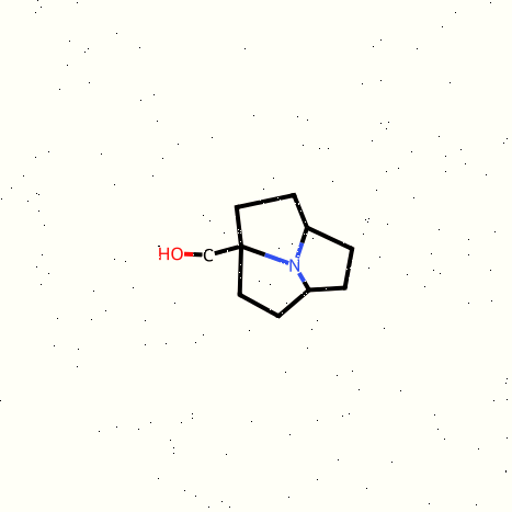 OCC12CCC3CCC(CC1)N32